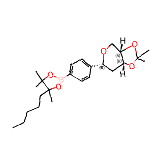 CCCCCC1(C)OB(c2ccc([C@H]3C[C@H]4OC(C)(C)O[C@H]4CO3)cc2)OC1(C)C